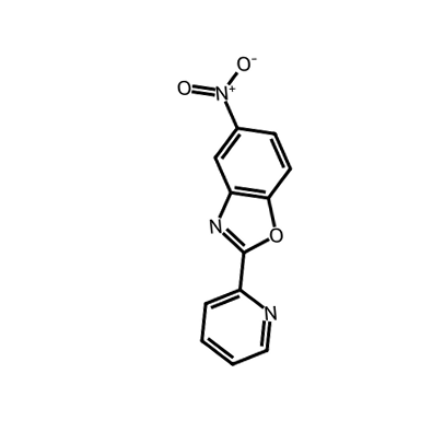 O=[N+]([O-])c1ccc2oc(-c3ccccn3)nc2c1